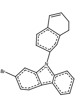 Brc1ccc2c3ccccc3n(-c3ccc4c(c3)CCC=C4)c2c1